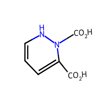 O=C(O)C1=CC=CNN1C(=O)O